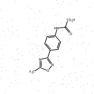 O=C(O)C(=O)Nc1ccc(-c2noc(C(F)(F)F)n2)cc1